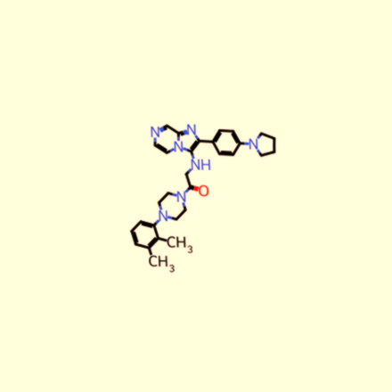 Cc1cccc(N2CCN(C(=O)CNc3c(-c4ccc(N5CCCC5)cc4)nc4cnccn34)CC2)c1C